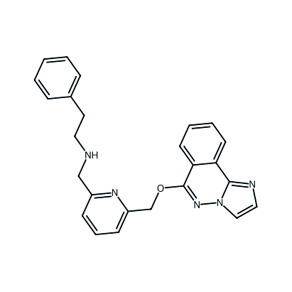 c1ccc(CCNCc2cccc(COc3nn4ccnc4c4ccccc34)n2)cc1